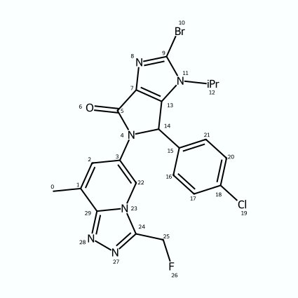 Cc1cc(N2C(=O)c3nc(Br)n(C(C)C)c3C2c2ccc(Cl)cc2)cn2c(CF)nnc12